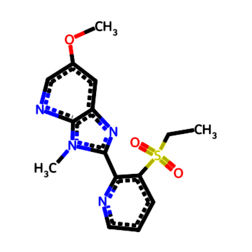 CCS(=O)(=O)c1cccnc1-c1nc2cc(OC)cnc2n1C